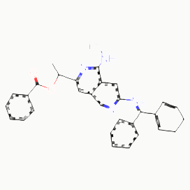 CC(C)Nc1nc(C(C)OC(=O)c2ccccc2)cc2cnc(/N=C(/C3=CCCC=C3)c3ccccc3)cc12